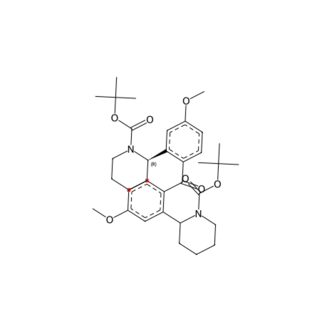 COc1ccc(C(=O)c2ccc(OC)cc2[C@H]2CCCCN2C(=O)OC(C)(C)C)c(C2CCCCN2C(=O)OC(C)(C)C)c1